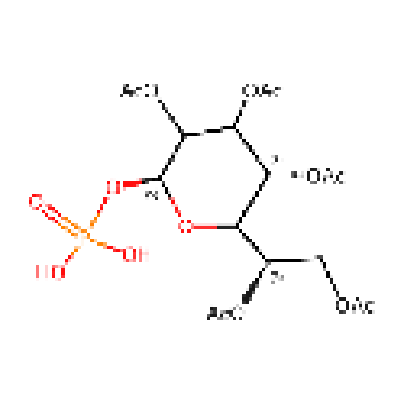 CC(=O)OC[C@@H](OC(C)=O)C1O[C@@H](OP(=O)(O)O)C(OC(C)=O)C(OC(C)=O)[C@@H]1OC(C)=O